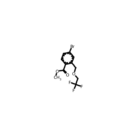 COC(=O)c1ccc(Br)cc1COCC(F)(F)F